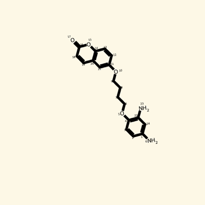 Nc1ccc(OCCCCOc2ccc3oc(=O)ccc3c2)c(N)c1